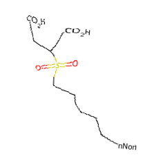 CCCCCCCCCCCCCCS(=O)(=O)C(CC(=O)O)C(=O)O